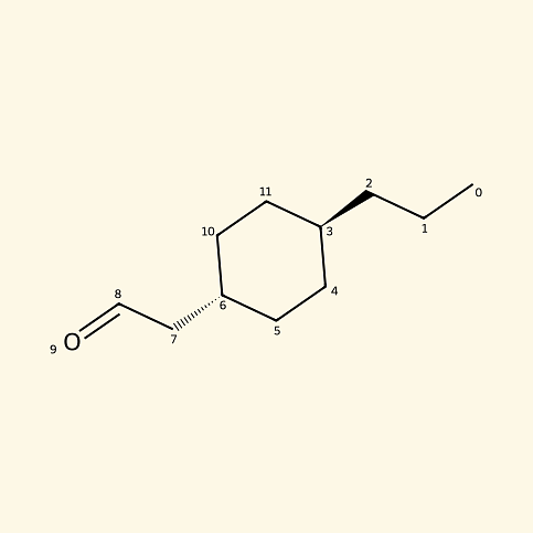 CCC[C@H]1CC[C@H](CC=O)CC1